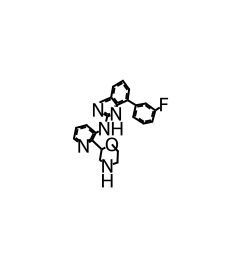 Fc1cccc(-c2cccc3cnc(Nc4cccnc4C4CNCCO4)nc23)c1